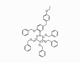 CCOc1ccc(Cc2ccc(OCc3ccccc3)c([C@@H]3S[C@H](COCc4ccccc4)[C@@H](OCc4ccccc4)[C@H](OCc4ccccc4)[C@H]3OCc3ccccc3)c2)cc1